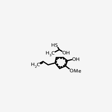 C=CCc1ccc(O)c(OC)c1.CC(O)S